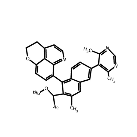 CC(=O)C(OC(C)(C)C)c1c(C)cc2cc(-c3c(C)ncnc3C)ccc2c1-c1ccc2c3c(ccnc13)CCO2